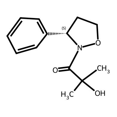 CC(C)(O)C(=O)N1OCC[C@H]1c1ccccc1